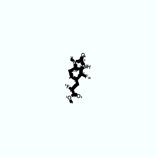 COC(=O)/C(F)=C/c1ccc2c([nH]c(=O)n2C)c1F